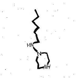 CCCCCCNN1CCNCC1